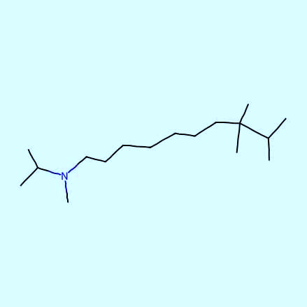 CC(C)N(C)CCCCCCCC(C)(C)C(C)C